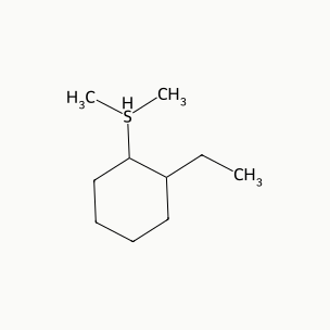 CCC1CCCCC1[SH](C)C